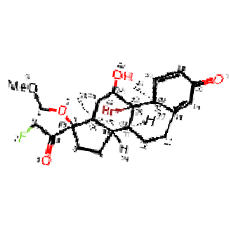 COCO[C@]1(C(=O)CF)CC[C@H]2[C@@H]3CCC4=CC(=O)C=C[C@]4(C)[C@@]3(Br)C(O)C[C@@]21C